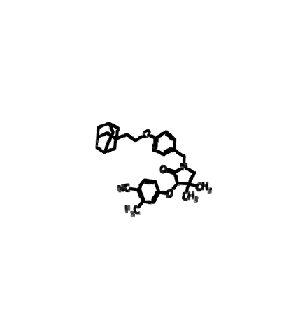 CC1(C)CN(Cc2ccc(OCCC34CC5CC(CC(C5)C3)C4)cc2)C(=O)[C@@H]1Oc1ccc(C#N)c(C(F)(F)F)c1